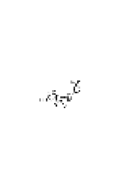 O=C(O)C1CSc2c(C3CC3)c(-c3cc(-c4cccc(C(F)(F)F)c4)on3)cc(=O)n21